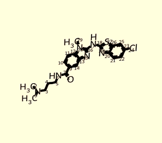 CN(C)CCCNC(=O)c1ccc2c(c1)nc(Nc1nc3ccc(Cl)cc3s1)n2C